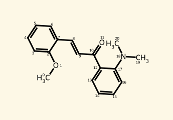 COc1ccccc1C=CC(=O)c1ccccc1N(C)C